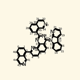 c1cc(-c2ccc3ccc4c(-n5c6ccccc6c6cccnc65)nc(-c5cccc6ccncc56)nc4c3n2)c2cnccc2c1